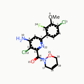 COc1c(Cl)ccc(-c2cc(N)c(Cl)c(C(=O)N3CC=CCO3)n2)c1F